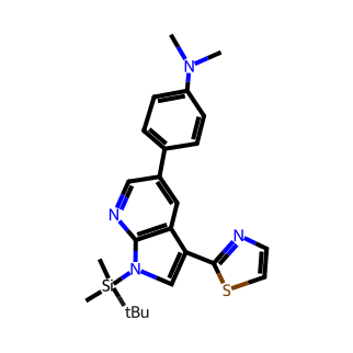 CN(C)c1ccc(-c2cnc3c(c2)c(-c2nccs2)cn3[Si](C)(C)C(C)(C)C)cc1